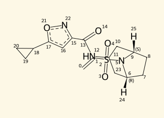 C=CS(=O)(=O)N1[C@@H]2CC[C@H]1CC(NC(=O)c1cc(C3CC3)on1)C2